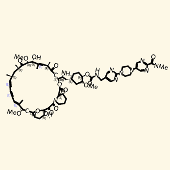 CNC(=O)c1ncc(N2CCN(c3ncc(CNC(=O)O[C@@H]4CC[C@@H](C[C@@H](N)[C@@H]5CC(=O)[C@H](C)/C=C(\C)[C@@H](O)[C@@H](OC)C(=O)[C@H](C)C[C@H](C)/C=C/C=C/C=C(\C)[C@@H](OC)C[C@@H]6CC[C@@H](C)[C@@](O)(O6)C(=O)C(=O)N6CCCC[C@H]6C(=O)O5)C[C@H]4OC)cn3)CC2)cn1